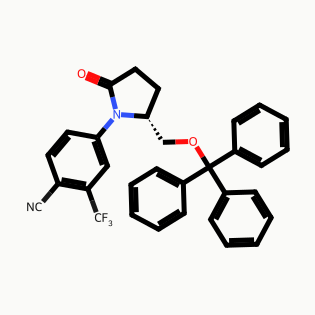 N#Cc1ccc(N2C(=O)CC[C@@H]2COC(c2ccccc2)(c2ccccc2)c2ccccc2)cc1C(F)(F)F